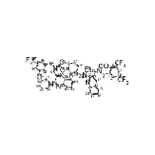 CCOC(=O)N(Cc1cc(C(F)(F)F)cc(C(F)(F)F)c1)Cc1cc2ccccc2nc1N(CC)Cc1cccc(OC(=O)N(Cc2cc(C(F)(F)F)cc(C(F)(F)F)c2)Cc2cc3ccccc3nc2N2CCCCC2)c1